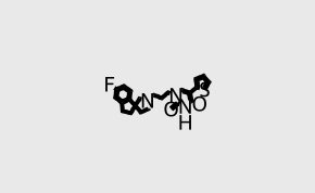 O=c1[nH]c(=O)n(CCCN2CCC3(CCc4cc(F)ccc43)C2)cc1-c1cccs1